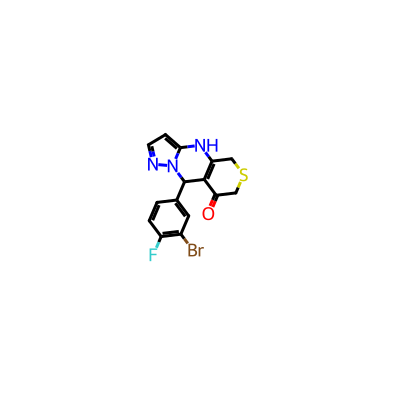 O=C1CSCC2=C1C(c1ccc(F)c(Br)c1)n1nccc1N2